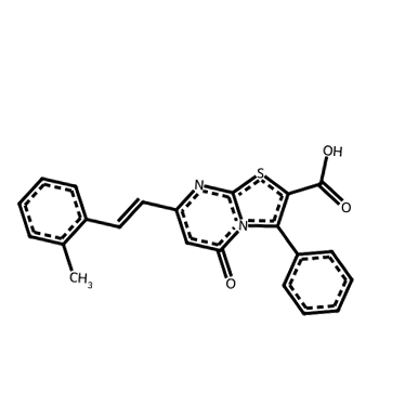 Cc1ccccc1/C=C/c1cc(=O)n2c(-c3ccccc3)c(C(=O)O)sc2n1